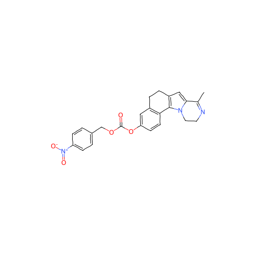 CC1=NCCn2c1cc1c2-c2ccc(OC(=O)OCc3ccc([N+](=O)[O-])cc3)cc2CC1